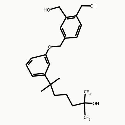 CC(C)(CCCC(O)(C(F)(F)F)C(F)(F)F)c1cccc(OCc2ccc(CO)c(CO)c2)c1